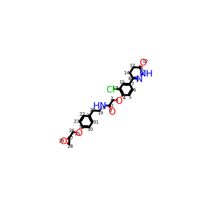 O=C(COc1ccc(C2=NNC(=O)CC2)cc1Cl)NCCc1ccc(OCC2CO2)cc1